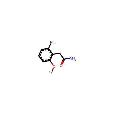 CCOc1cccc(N=O)c1CC(N)=O